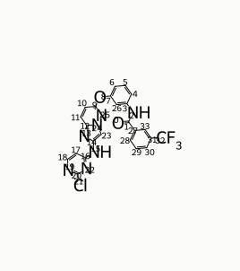 O=C(Nc1cccc(Oc2ccc3nc(Nc4ccnc(Cl)n4)cn3n2)c1)c1cccc(C(F)(F)F)c1